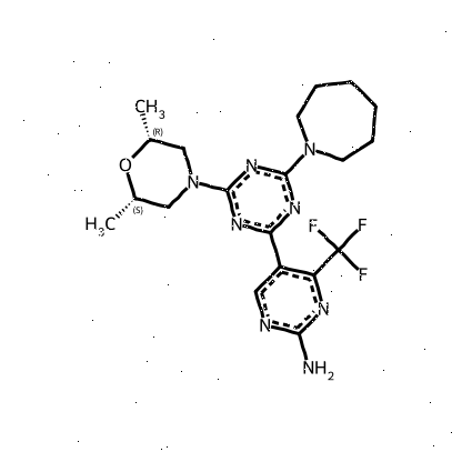 C[C@@H]1CN(c2nc(-c3cnc(N)nc3C(F)(F)F)nc(N3CCCCCC3)n2)C[C@H](C)O1